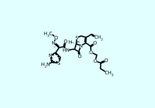 C=CC1=C(C(=O)OCOC(=O)CC)N2C(=O)C(NC(=O)/C(=N\OC)c3csc(N)n3)[C@H]2SC1